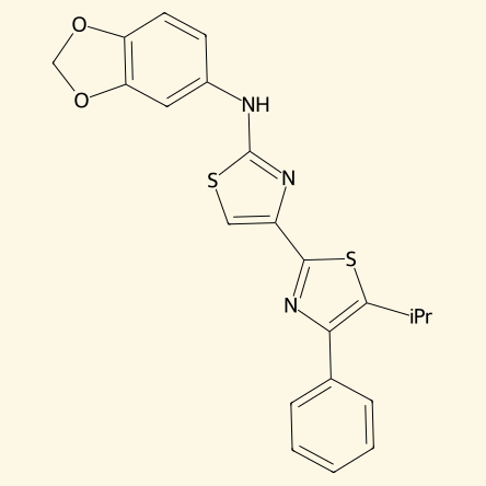 CC(C)c1sc(-c2csc(Nc3ccc4c(c3)OCO4)n2)nc1-c1ccccc1